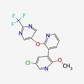 COc1ncc(Cl)cc1-c1cccnc1Oc1cnc(C(F)(F)F)nc1